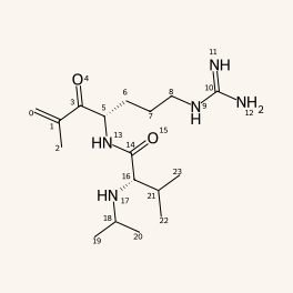 C=C(C)C(=O)[C@H](CCCNC(=N)N)NC(=O)[C@@H](NC(C)C)C(C)C